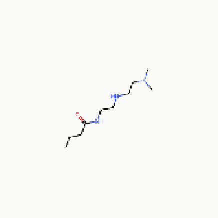 CCCC(=O)NCCNCCN(C)C